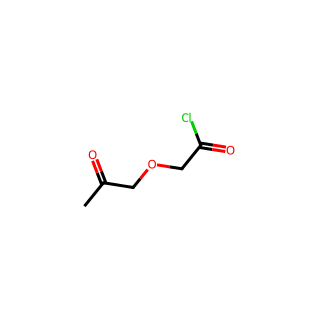 CC(=O)COCC(=O)Cl